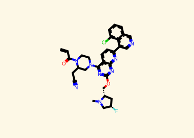 C=CC(=O)N1CCN(c2nc(OC[C@@H]3C[C@@H](F)CN3C)nc3nc(-c4cncc5cccc(Cl)c45)ccc23)CC1CC#N